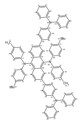 Cc1ccc(N(c2ccc(C(C)(C)C)cc2)c2c3ccc(-c4ccc(N(c5ccccc5)c5ccccc5)cc4)cc3c(N(c3ccc(C)cc3)c3ccc(C(C)(C)C)cc3)c3cc(-c4ccc(N(c5ccccc5)c5ccccc5)cc4)ccc23)cc1